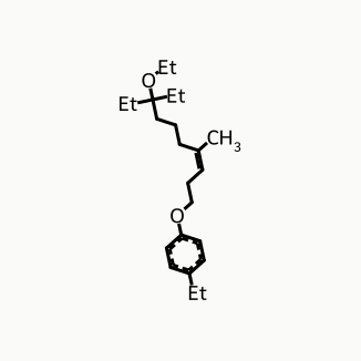 CCOC(CC)(CC)CCCC(C)=CCCOc1ccc(CC)cc1